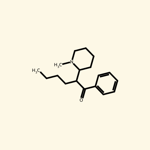 CCCCC(C(=O)c1ccccc1)C1CCCCN1C